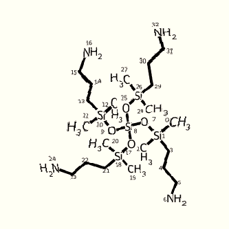 C[Si](C)(CCCN)O[Si](O[Si](C)(C)CCCN)(O[Si](C)(C)CCCN)O[Si](C)(C)CCCN